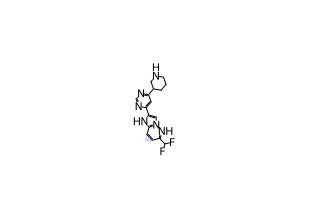 N=C(/C=C\c1ncc(-c2cc(C3CCCNC3)ncn2)[nH]1)C(F)F